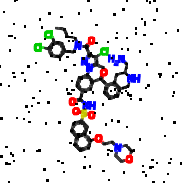 CCCCN(Cc1ccc(Cl)c(Cl)c1)C(=O)c1nn(-c2ccc(C(=O)NS(=O)(=O)c3ccc4cccc(OCCN5CCOCC5)c4c3)cc2C(=O)c2cccc3c2CC(CN)NC3)c(C)c1Cl